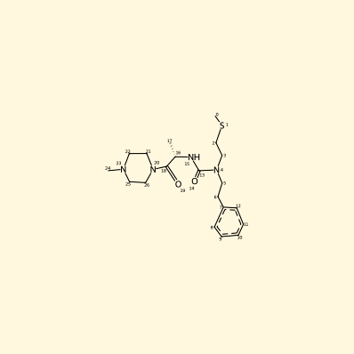 CSCCN(CCc1ccccc1)C(=O)N[C@@H](C)C(=O)N1CCN(C)CC1